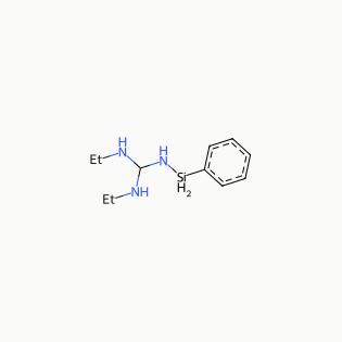 CCNC(NCC)N[SiH2]c1ccccc1